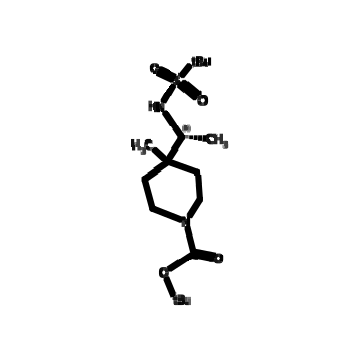 C[C@@H](NS(=O)(=O)C(C)(C)C)C1(C)CCN(C(=O)OC(C)(C)C)CC1